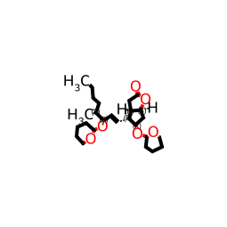 CCCC[C@@H](C)[C@H](C=C[C@@H]1[C@H]2CC(=O)O[C@H]2C[C@H]1OC1CCCCO1)OC1CCCCO1